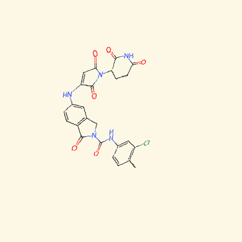 Cc1ccc(NC(=O)N2Cc3cc(NC4=CC(=O)N(C5CCC(=O)NC5=O)C4=O)ccc3C2=O)cc1Cl